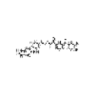 O=C1Nc2cc(C=CCNC(=O)c3nccc(Nc4ccc(F)c(F)c4)n3)ccc2C1=Cc1cnc[nH]1